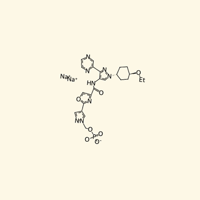 CCO[C@H]1CC[C@H](n2cc(NC(=O)c3coc(-c4cnn(COP(=O)([O-])[O-])c4)n3)c(-c3cnccn3)n2)CC1.[Na+].[Na+]